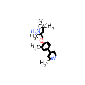 Cc1cc(-c2ccc(OCC(C)(N)CC(C)C)c(C)c2)ccn1